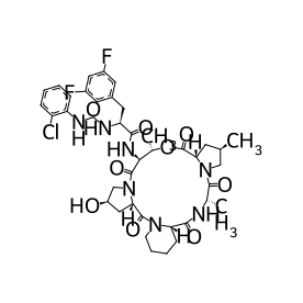 C[C@@H]1C[C@H]2C(=O)O[C@@H](C)[C@H](NC(=O)[C@H](Cc3cc(F)cc(F)c3)NC(=O)Nc3ccccc3Cl)C(=O)N3C[C@H](O)C[C@H]3C(=O)N3CCCC[C@H]3C(=O)N[C@@H](C)C(=O)N2C1